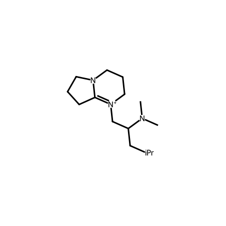 CC(C)CC(C[N+]1=C2CCCN2CCC1)N(C)C